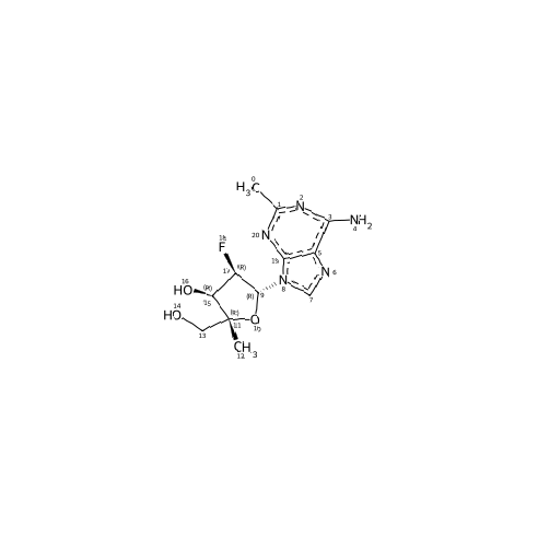 Cc1nc(N)c2ncn([C@@H]3O[C@](C)(CO)[C@@H](O)[C@H]3F)c2n1